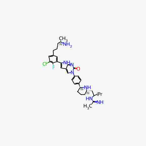 CC(=N)NC(C[C@@H]1CCC[C@@H](c2ccc(-n3cc4cc(-c5cc(CCC[C@H](C)N)cc(Cl)c5F)[nH]c4nc3=O)cc2)N1)C(C)C